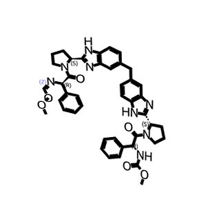 COO/C=N\[C@@H](C(=O)N1CCC[C@H]1c1nc2cc(Cc3ccc4[nH]c([C@@H]5CCCN5C(=O)[C@H](NC(=O)OC)c5ccccc5)nc4c3)ccc2[nH]1)c1ccccc1